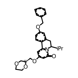 CC(C)C1Cc2cc(OCc3ccccc3)ccc2-c2cc(OC[C@@H]3COCCO3)cc(=O)n21